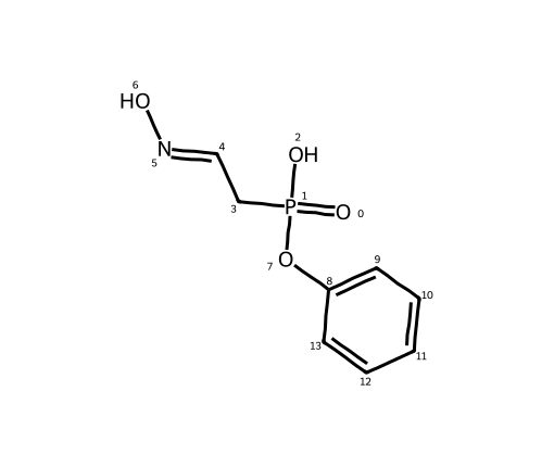 O=P(O)(CC=NO)Oc1ccccc1